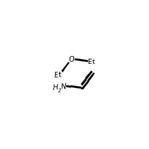 C=CN.CCOCC